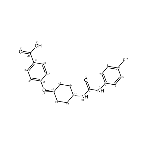 O=C(Nc1ccc(F)cc1)N[C@H]1CC[C@H](Oc2ccc(C(=O)O)cc2)CC1